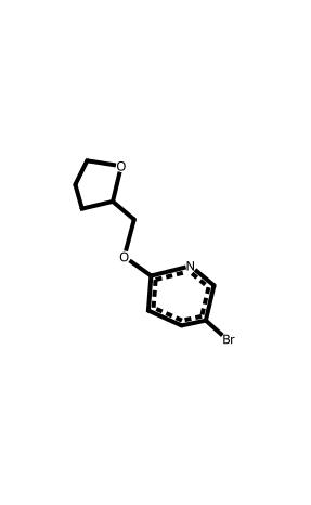 Brc1ccc(OCC2CCCO2)nc1